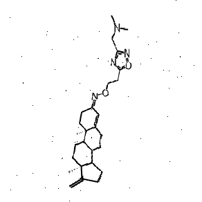 C=C1CCC2C3CCC4=CC(=NOCCc5nc(CN(C)C)no5)CC[C@]4(C)C3CC[C@]12C